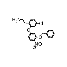 NCCc1ccc(Cl)cc1Oc1ccc([N+](=O)[O-])c(OCc2ccccc2)c1